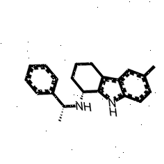 Cc1ccc2[nH]c3c(c2c1)CCC[C@H]3N[C@H](C)c1ccccc1